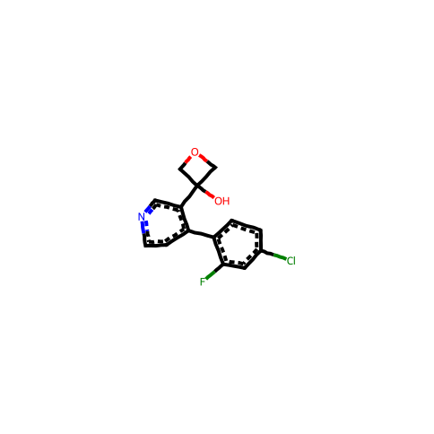 OC1(c2cnccc2-c2ccc(Cl)cc2F)COC1